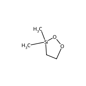 C[Si]1(C)CCOO1